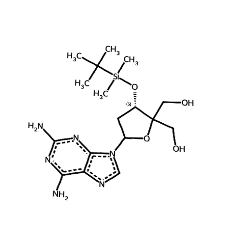 CC(C)(C)[Si](C)(C)O[C@H]1CC(n2cnc3c(N)nc(N)nc32)OC1(CO)CO